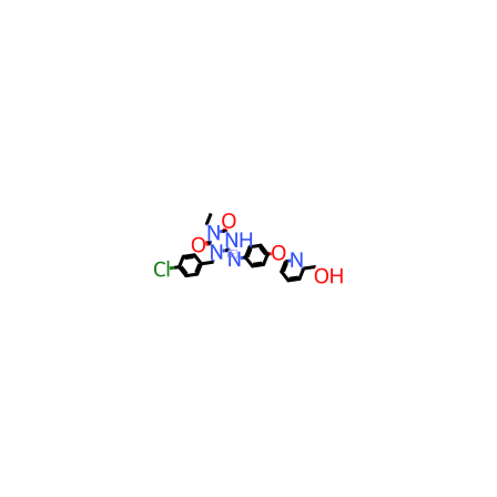 CCn1c(=O)[nH]/c(=N\c2ccc(Oc3cccc(CO)n3)cc2)n(Cc2ccc(Cl)cc2)c1=O